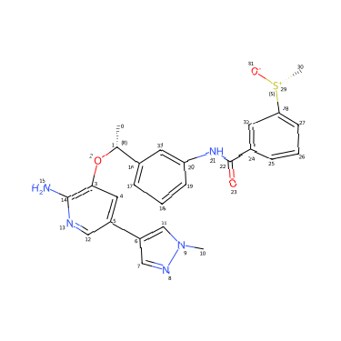 C[C@@H](Oc1cc(-c2cnn(C)c2)cnc1N)c1cccc(NC(=O)c2cccc([S@@+](C)[O-])c2)c1